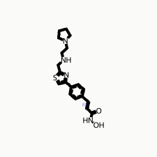 O=C(/C=C/c1ccc(-c2csc(CNCCN3CCCC3)n2)cc1)NO